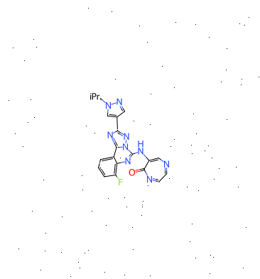 CC(C)n1cc(-c2nc3c4cccc(F)c4nc(Nc4cnccnc4=O)n3n2)cn1